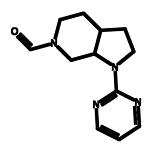 O=CN1CCC2CCN(c3ncccn3)C2C1